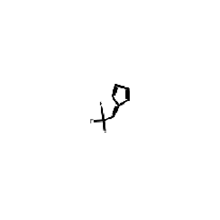 FC(F)(F)C=C1C=CC=C1